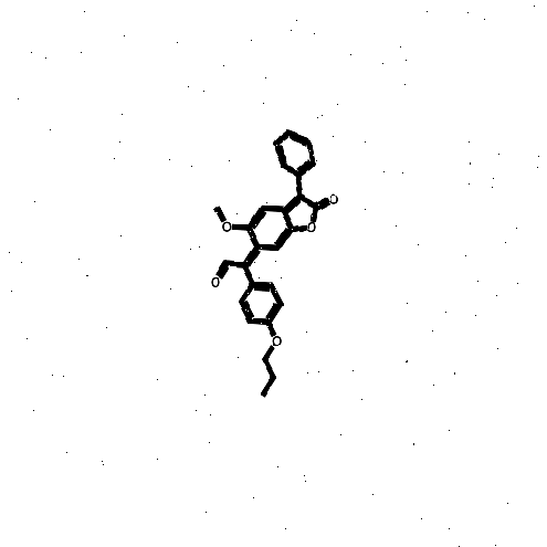 CCCOc1ccc(/C(C=O)=c2\cc3c(cc2OC)=C(c2ccccc2)C(=O)O3)cc1